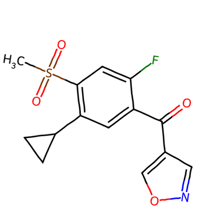 CS(=O)(=O)c1cc(F)c(C(=O)c2cnoc2)cc1C1CC1